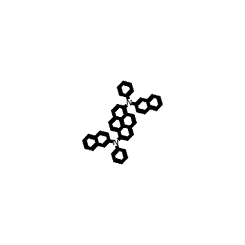 c1ccc(N(c2ccc3ccccc3c2)c2ccc3ccc4c(N(c5ccccc5)c5ccc6ccccc6c5)ccc5ccc2c3c54)cc1